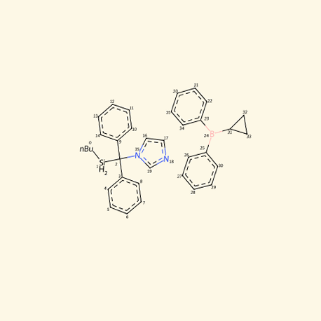 CCCC[SiH2]C(c1ccccc1)(c1ccccc1)n1ccnc1.c1ccc(B(c2ccccc2)C2CC2)cc1